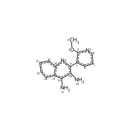 COc1ncccc1-c1nc2ccccc2c(N)c1N